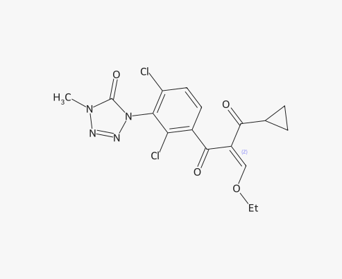 CCO/C=C(\C(=O)c1ccc(Cl)c(-n2nnn(C)c2=O)c1Cl)C(=O)C1CC1